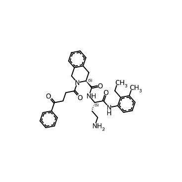 CCc1c(C)cccc1NC(=O)[C@H](CCN)NC(=O)[C@@H]1Cc2ccccc2CN1C(=O)CCC(=O)c1ccccc1